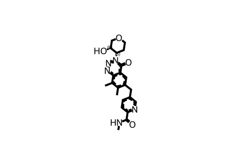 CNC(=O)c1ccc(Cc2cc3c(=O)n([C@H]4CCOC[C@@H]4O)nnc3c(C)c2C)cn1